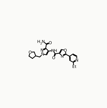 CCc1cc(-c2nc(C(=O)Nc3cn(CC4CCOC4)nc3C(N)=O)co2)ccn1